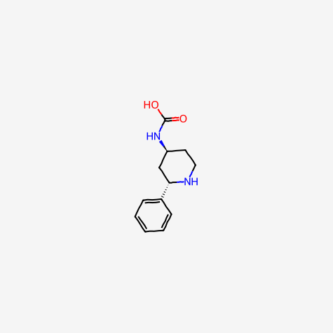 O=C(O)N[C@H]1CCN[C@H](c2ccccc2)C1